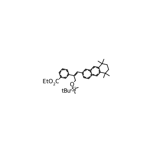 CCOC(=O)c1cccc(/C(=C/c2ccc3cc4c(cc3c2)C(C)(C)CCC4(C)C)CO[Si](C)(C)C(C)(C)C)c1